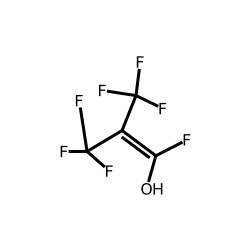 OC(F)=C(C(F)(F)F)C(F)(F)F